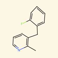 Cc1ncc[c]c1Cc1ccccc1F